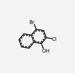 Oc1c(Cl)cc(Br)c2ccccc12